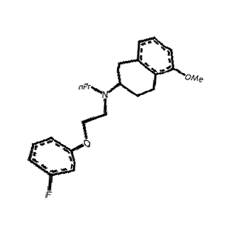 CCCN(CCOc1cccc(F)c1)C1CCc2c(cccc2OC)C1